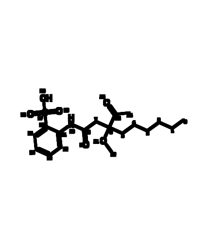 CCCCCCC(CC(=O)Nc1ccccc1S(=O)(=O)O)(OC)C(C)=O